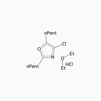 CCCCCc1nc(Cl)c(CCCCC)o1.CCOCC.Cl